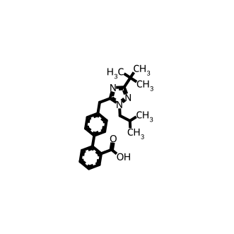 CC(C)Cn1nc(C(C)(C)C)nc1Cc1ccc(-c2ccccc2C(=O)O)cc1